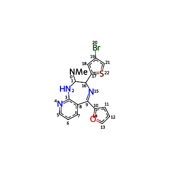 CNC1Nc2ncccc2C(c2ccco2)=NC1c1cc(Br)cs1